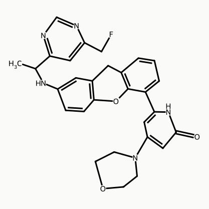 CC(Nc1ccc2c(c1)Cc1cccc(-c3cc(N4CCOCC4)cc(=O)[nH]3)c1O2)c1cc(CF)ncn1